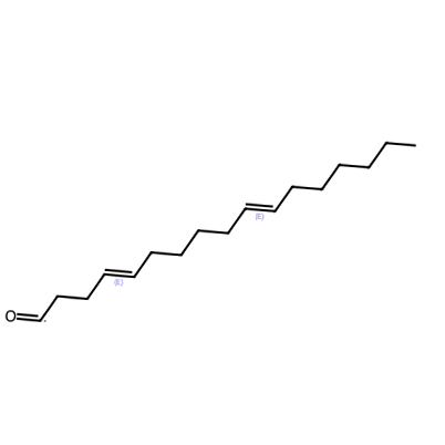 CCCCCC/C=C/CCCC/C=C/CC[C]=O